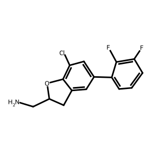 NCC1Cc2cc(-c3cccc(F)c3F)cc(Cl)c2O1